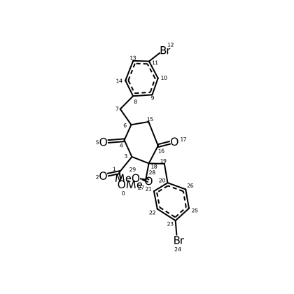 COC(=O)C1C(=O)C(Cc2ccc(Br)cc2)CC(=O)C1(Cc1ccc(Br)cc1)C(=O)OC